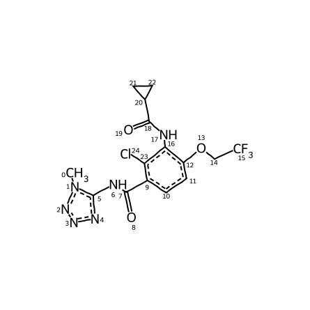 Cn1nnnc1NC(=O)c1ccc(OCC(F)(F)F)c(NC(=O)C2CC2)c1Cl